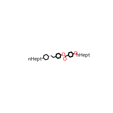 CCCCCCCOc1ccc(C(=O)Oc2ccc(CC[C@H]3CC[C@H](CCCCCCC)CC3)cc2)cc1